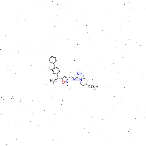 CC(c1ccc(-c2ccccc2)c(F)c1)c1cc(C/N=C(\N)N2CCC(C(=O)O)CC2)no1